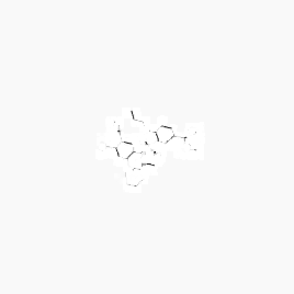 C=CCOc1ccc(C(=O)OC)cc1S(=O)(=O)Nc1cc(C#N)c(Cl)cc1N1CCCCC1C=C